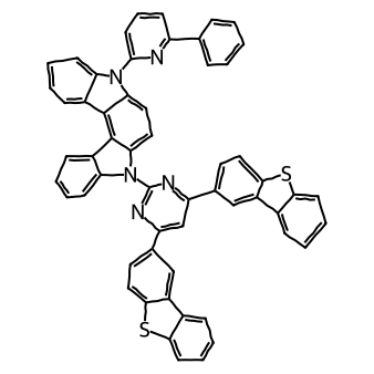 c1ccc(-c2cccc(-n3c4ccccc4c4c5c6ccccc6n(-c6nc(-c7ccc8sc9ccccc9c8c7)cc(-c7ccc8sc9ccccc9c8c7)n6)c5ccc43)n2)cc1